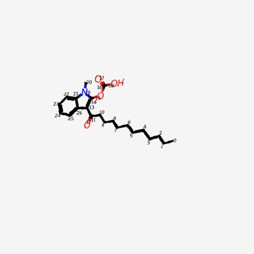 CCCCCCCCCCCC(=O)c1c(OC(=O)O)n(C)c2ccccc12